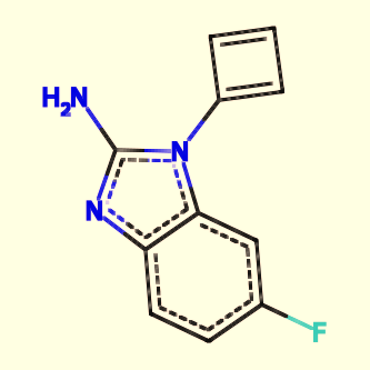 Nc1nc2ccc(F)cc2n1C1=CC=C1